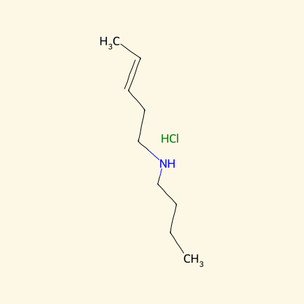 C/C=C/CCNCCCC.Cl